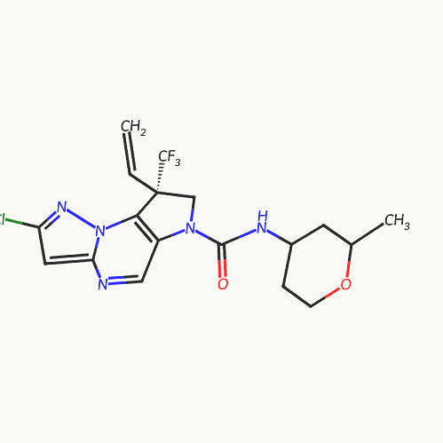 C=C[C@@]1(C(F)(F)F)CN(C(=O)NC2CCOC(C)C2)c2cnc3cc(Cl)nn3c21